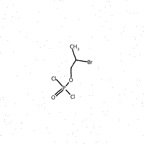 CC(Br)COP(=O)(Cl)Cl